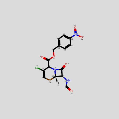 O=CN[C@@H]1C(=O)N2C(C(=O)OCc3ccc([N+](=O)[O-])cc3)C(Cl)=CS[C@@H]12